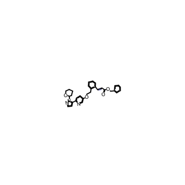 O=C(/C=C/c1ccccc1CCOc1ccc(-c2ccnn2C2CCCCO2)nc1)OCc1ccccc1